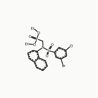 CCOP(=O)(CN(c1cccc2ccccc12)S(=O)(=O)c1cc(Cl)cc(Br)c1)OCC